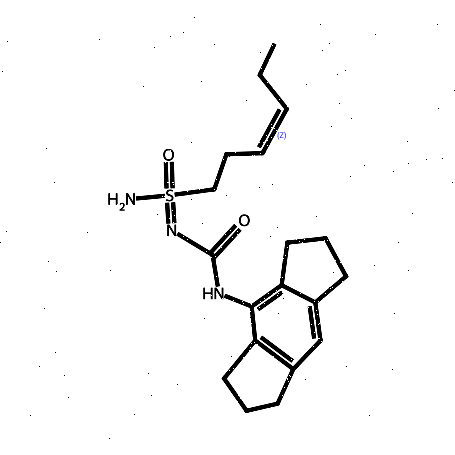 CC/C=C\CCS(N)(=O)=NC(=O)Nc1c2c(cc3c1CCC3)CCC2